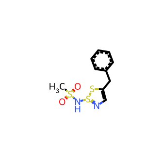 CS(=O)(=O)NS1=NC=C(Cc2ccccc2)S1